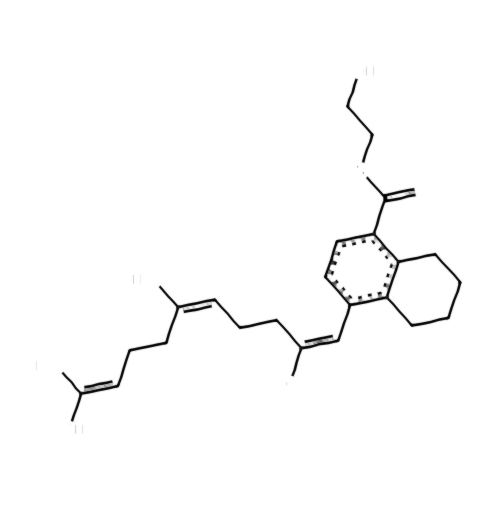 CC(C)=CCCC(C)=CCCC(C)=Cc1ccc(C(=O)NCCO)c2c1CCCC2